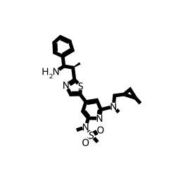 CC1CC1CN(C)c1cc(-c2cnc([C@H](C)C(N)c3ccccc3)s2)cc(N(C)S(C)(=O)=O)n1